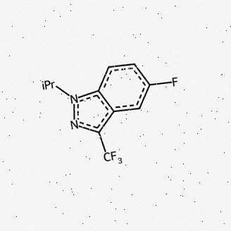 CC(C)n1nc(C(F)(F)F)c2cc(F)ccc21